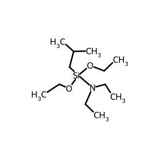 CCO[Si](CC(C)C)(OCC)N(CC)CC